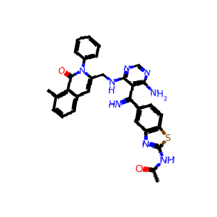 CC(=O)Nc1nc2cc(C(=N)c3c(N)ncnc3NCc3cc4cccc(C)c4c(=O)n3-c3ccccc3)ccc2s1